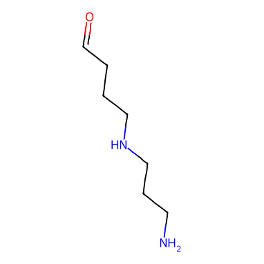 NCCCNCCCC=O